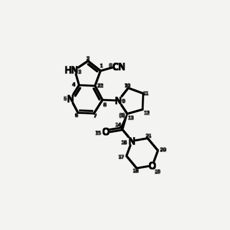 N#Cc1c[nH]c2nccc(N3CCC[C@H]3C(=O)N3CCOCC3)c12